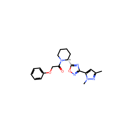 Cc1cc(-c2noc([C@H]3CCCCN3C(=O)COc3ccccc3)n2)n(C)n1